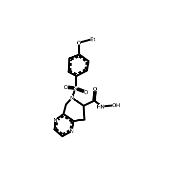 CCOc1ccc(S(=O)(=O)N2Cc3nccnc3CC2C(=O)NO)cc1